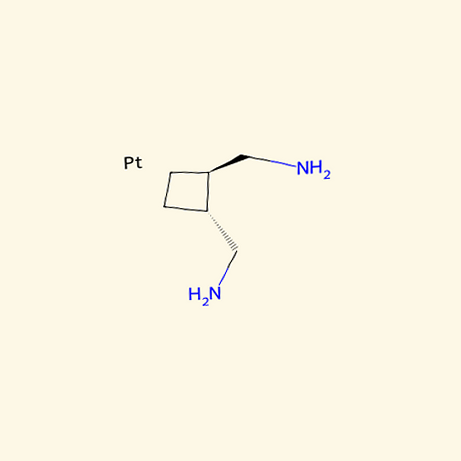 NC[C@@H]1CC[C@H]1CN.[Pt]